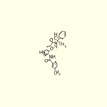 Cc1csc(C(=O)Nc2n[nH]c3cc(C(=O)NC(C)(C)c4ccccc4)oc23)c1